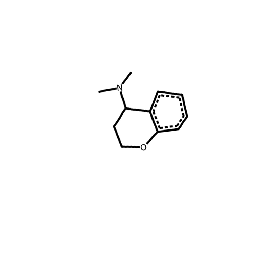 CN(C)C1CCOc2ccccc21